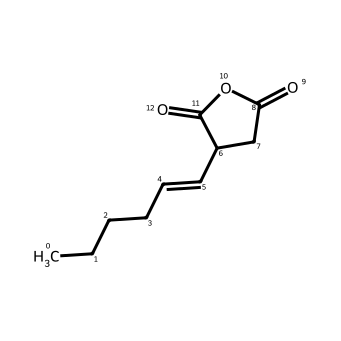 CCCCC=CC1CC(=O)OC1=O